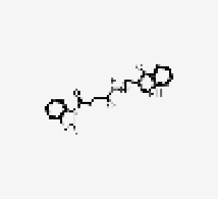 O=C(CCC(=O)Nc1ccccc1[N+](=O)[O-])N/N=C/c1c[nH]c2ccccc2c1=O